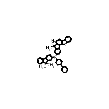 CC1(C)c2ccccc2-c2ccc(N(C3=CCC(C4=CCCC=C4)C=C3)c3ccc4c(c3)C(C)(C)c3ccc5c(c3-4)SC3C=CC=CC53)cc21